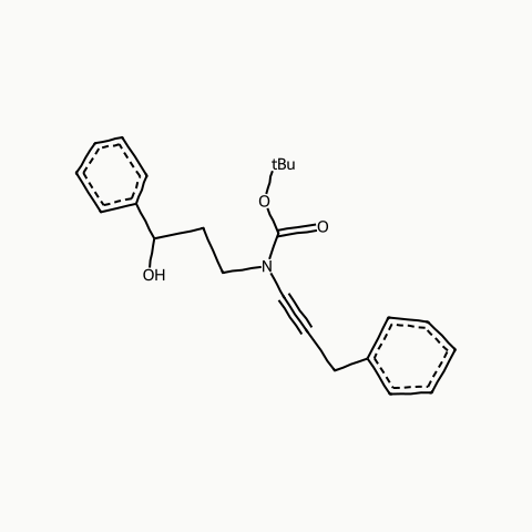 CC(C)(C)OC(=O)N(C#CCc1ccccc1)CCC(O)c1ccccc1